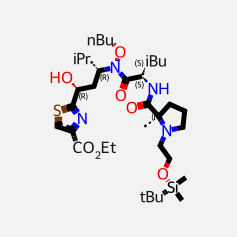 CCCCON(C(=O)[C@@H](NC(=O)[C@@]1(C)CCCN1CCO[Si](C)(C)C(C)(C)C)[C@@H](C)CC)[C@H](C[C@@H](O)c1nc(C(=O)OCC)cs1)C(C)C